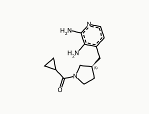 Nc1nccc(C[C@H]2CCN(C(=O)C3CC3)C2)c1N